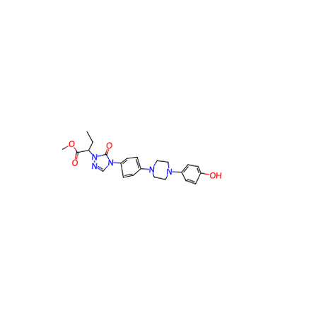 CCC(C(=O)OC)n1ncn(-c2ccc(N3CCN(c4ccc(O)cc4)CC3)cc2)c1=O